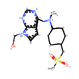 CNS(=O)(=O)CC1CCC(N(C)c2ncnc3c2ccn3CO)CC1